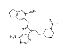 C#Cc1cc2c(cc1Sc1nc3c(N)ncnc3n1CCC1CCCN(C(C)=O)C1)CCC2